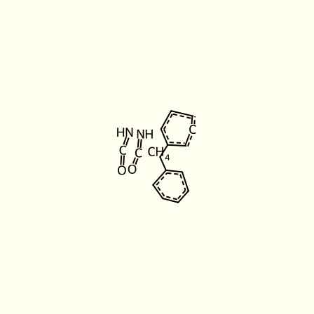 C.N=C=O.N=C=O.c1ccc(Cc2ccccc2)cc1